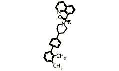 Cc1cccc(-c2ccc(C3CCN(S(=O)(=O)c4cccc5cccnc45)CC3)cc2)c1C